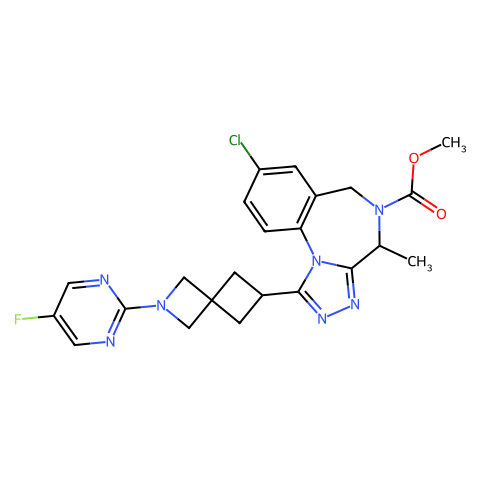 COC(=O)N1Cc2cc(Cl)ccc2-n2c(C3CC4(C3)CN(c3ncc(F)cn3)C4)nnc2C1C